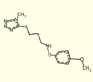 COc1ccc(ONCCCSc2nnnn2C)cc1